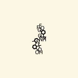 Cc1ccc(NC(=O)C2(c3ccc4c(c3)OC(F)(F)O4)CC2)nc1-c1cccc(C(=O)O)c1C(C)(C)C